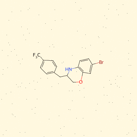 FC(F)(F)c1ccc(CC2COc3cc(Br)ccc3N2)cc1